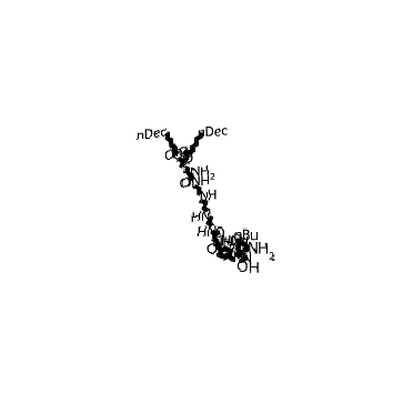 CCCCCCCCCCCCCCCC(=O)OCC(CSCC(N)C(=O)NCCCNCCCCNCCCNC(=O)CNC(=O)c1ccc(Cn2c(O)nc3c(N)nc(NCCCC)nc32)cc1)OC(=O)CCCCCCCCCCCCCCC